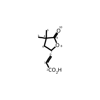 C=CC(=O)O.CC1(C)CCOC1=O